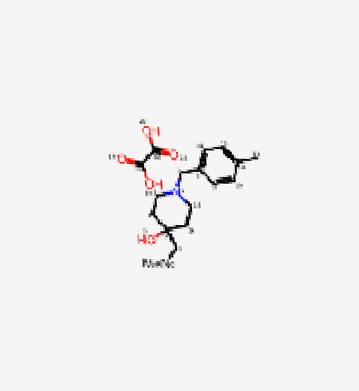 CNCC1(O)CCN(Cc2ccc(C)cc2)CC1.O=C(O)C(=O)O